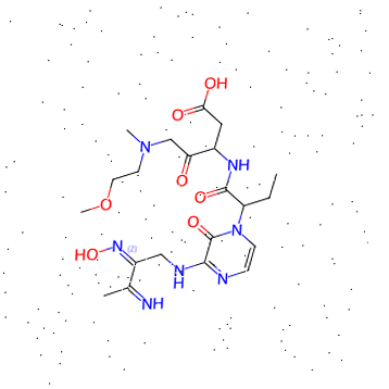 CCC(C(=O)NC(CC(=O)O)C(=O)CN(C)CCOC)n1ccnc(NC/C(=N/O)C(C)=N)c1=O